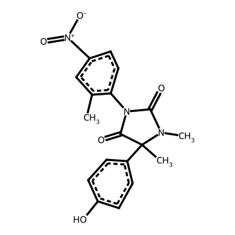 Cc1cc([N+](=O)[O-])ccc1N1C(=O)N(C)C(C)(c2ccc(O)cc2)C1=O